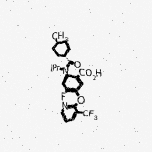 CC(C)N(c1cc(F)c(Oc2ncccc2C(F)(F)F)cc1C(=O)O)C(=O)[C@H]1CC[C@H](C)CC1